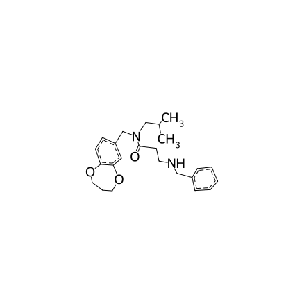 CC(C)CN(Cc1ccc2c(c1)OCCCO2)C(=O)CCNCc1ccccc1